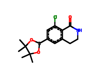 CC1(C)OB(c2cc(Cl)c3c(c2)CCNC3=O)OC1(C)C